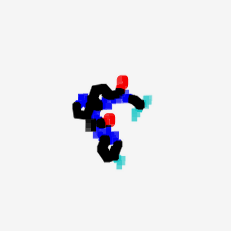 O=C(NCC(F)F)c1ccc2c(n1)N(C(=O)Nc1ccc(F)cn1)[C@H]1CCN2C1